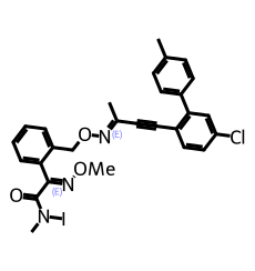 CO/N=C(/C(=O)N(C)I)c1ccccc1CO/N=C(\C)C#Cc1ccc(Cl)cc1-c1ccc(C)cc1